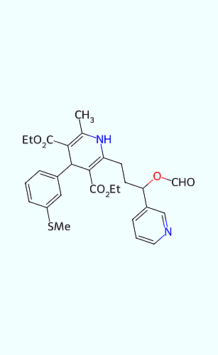 CCOC(=O)C1=C(C)NC(CCC(OC=O)c2cccnc2)=C(C(=O)OCC)C1c1cccc(SC)c1